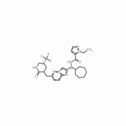 CCn1nccc1C(=O)N[C@H](c1cn2nc(CC3C[C@H](C(F)(F)F)CNC3=O)ccc2n1)C1CCCCCC1